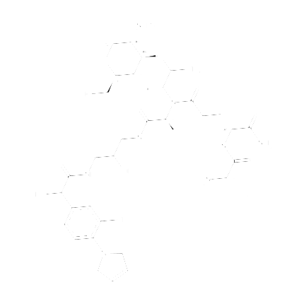 CC(=O)N[C@@H]1[C@@H](OC(C)CN(C(=O)CC[C@@H](NC(=O)[C@H](C)N)C(N)=O)[C@@H](C)C(=O)NCC(O)CNC(=O)C(C)c2ccc(N3CC=CC3)c(Cl)c2)[C@H](O)[C@@H](CO)O[C@@H]1O